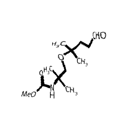 COC(=O)NC(C)(C)COC(C)(C)CCC=O